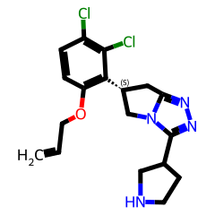 C=CCOc1ccc(Cl)c(Cl)c1[C@@H]1Cc2nnc(C3CCNC3)n2C1